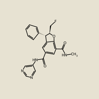 CNC(=O)c1cc(C(=O)Nc2cncnc2)cc2c1O[C@H](CF)[C@H]2c1ccccc1